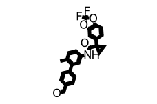 Cc1ccc(NC(=O)C2(c3ccc4c(c3)OC(F)(F)O4)CC2)cc1-c1ccc(C=O)cc1